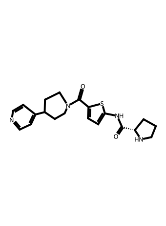 O=C(Nc1ccc(C(=O)N2CCC(c3ccncc3)CC2)s1)[C@@H]1CCCN1